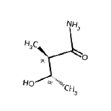 C[C@H](O)[C@@H](C)C(N)=O